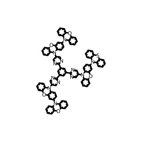 c1ccc2c(c1)Oc1ccccc1N2c1ccc2c(c1)Oc1ccccc1N2c1cnc(-c2cc(-c3ncc(N4c5ccccc5Oc5cc(N6c7ccccc7Oc7ccccc76)ccc54)cn3)cc(-c3ncc(N4c5ccccc5Oc5cc(N6c7ccccc7Sc7ccccc76)ccc54)cn3)c2)nc1